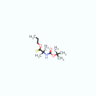 CCCOC(=S)C(C)(C)NC(=O)OC(C)(C)C